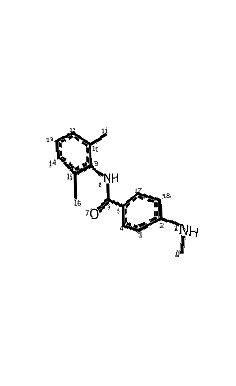 CNc1ccc(C(=O)Nc2c(C)cccc2C)cc1